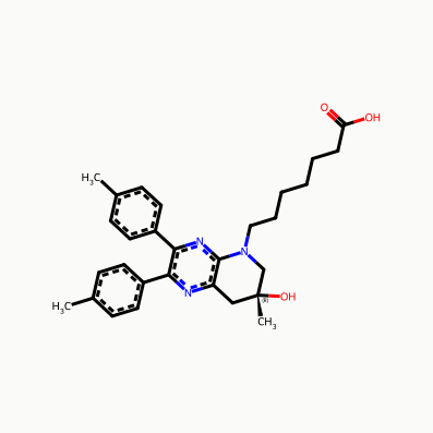 Cc1ccc(-c2nc3c(nc2-c2ccc(C)cc2)N(CCCCCCC(=O)O)C[C@](C)(O)C3)cc1